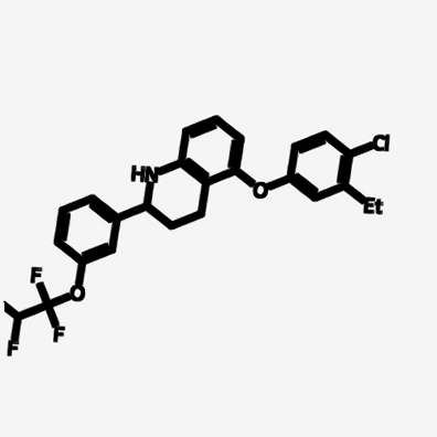 CCc1cc(Oc2cccc3c2CCC(c2cccc(OC(F)(F)C(F)F)c2)N3)ccc1Cl